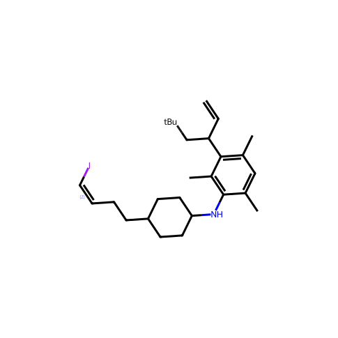 C=CC(CC(C)(C)C)c1c(C)cc(C)c(NC2CCC(CC/C=C\I)CC2)c1C